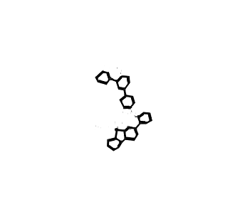 CC1(C)c2ccccc2-c2ccc(-c3ccccc3Nc3ccc(-c4ccc(N)c(-c5ccccc5)c4)cc3)cc21